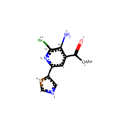 COC(=O)c1cc(-c2cncs2)nc(Br)c1N